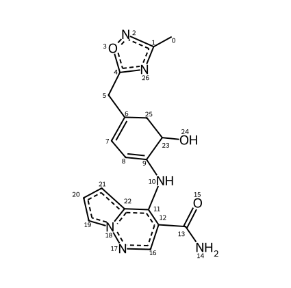 Cc1noc(CC2=CC=C(Nc3c(C(N)=O)cnn4cccc34)C(O)C2)n1